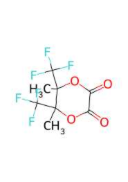 CC1(C(F)(F)F)OC(=O)C(=O)OC1(C)C(F)(F)F